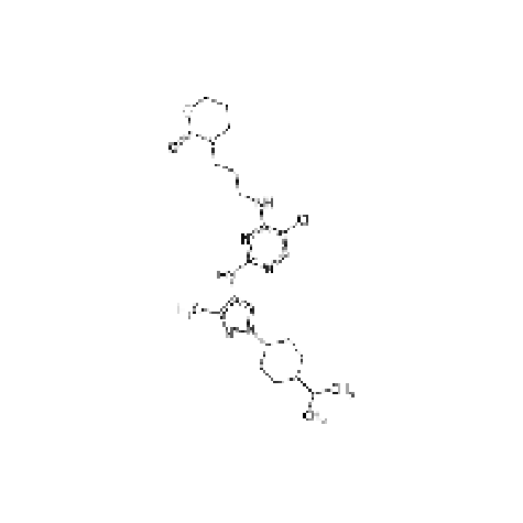 Cc1nn(C2CCN(C(C)C)CC2)cc1Nc1ncc(Cl)c(NCCCN2CCCOC2=O)n1